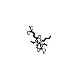 CCCCSP(=S)(N(CC)C(=O)CCC(=O)OC)N(CC)C(=O)OC